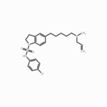 C=CCN(C)CCCCCc1ccc2c(c1)CCN2S(=O)(=O)Nc1ccc(Cl)cc1